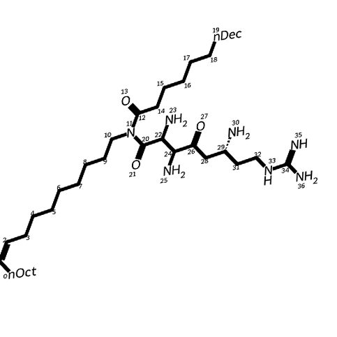 CCCCCCCC/C=C\CCCCCCCCN(C(=O)CCCCCCCCCCCCCCC)C(=O)C(N)C(N)C(=O)C[C@H](N)CCNC(=N)N